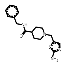 Nc1ncc(CN2CCC(C(=O)NCc3ccccc3)CC2)s1